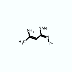 CNC(/C=C(/C)N)=N/C(C)C